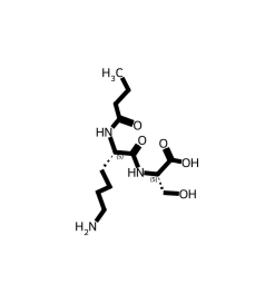 CCCC(=O)N[C@@H](CCCCN)C(=O)N[C@@H](CO)C(=O)O